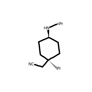 CCCN[C@H]1CC[C@](CC#N)(C(C)C)CC1